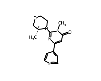 C[C@@H]1COCCN1c1nc(-c2ccncc2)cc(=O)n1C